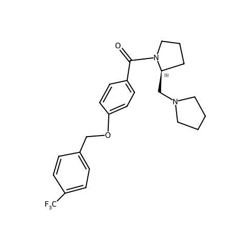 O=C(c1ccc(OCc2ccc(C(F)(F)F)cc2)cc1)N1CCC[C@H]1CN1CCCC1